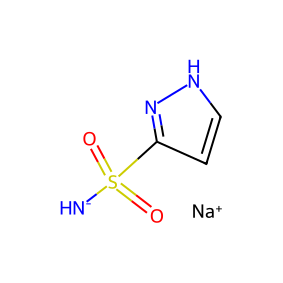 [NH-]S(=O)(=O)c1cc[nH]n1.[Na+]